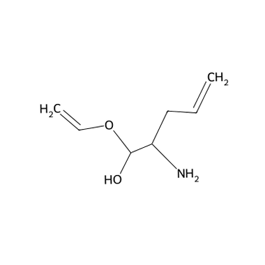 C=CCC(N)C(O)OC=C